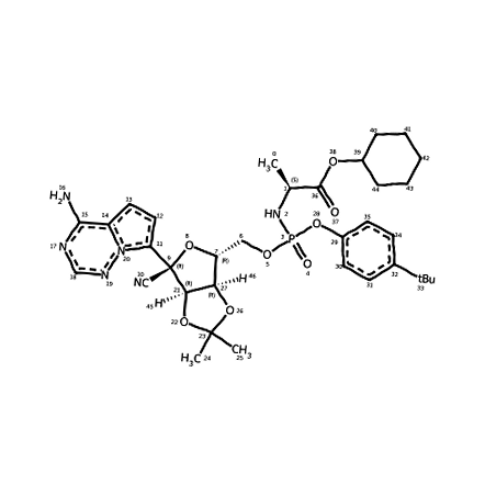 C[C@H](NP(=O)(OC[C@H]1O[C@@](C#N)(c2ccc3c(N)ncnn23)[C@@H]2OC(C)(C)O[C@@H]21)Oc1ccc(C(C)(C)C)cc1)C(=O)OC1CCCCC1